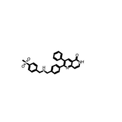 CS(=O)(=O)c1ccc(CNCc2ccc(-c3nc4cc[nH]c(=O)c4cc3-c3ccccc3)cc2)cc1